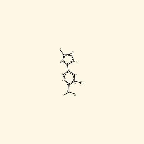 Cc1nc(-c2ccc(C(C)C)c(F)c2)no1